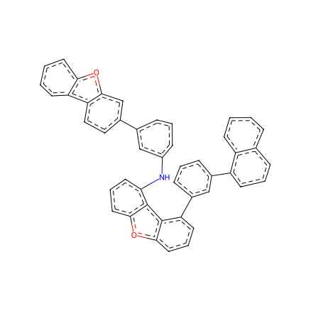 c1cc(Nc2cccc3oc4cccc(-c5cccc(-c6cccc7ccccc67)c5)c4c23)cc(-c2ccc3c(c2)oc2ccccc23)c1